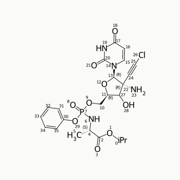 CC(C)OC(=O)[C@H](C)NP(=O)(OC[C@H]1O[C@@H](n2ccc(=O)[nH]c2=O)[C@@](N)(C#CCl)C1O)Oc1ccccc1